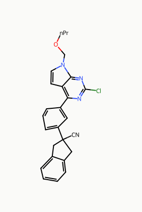 CCCOCn1ccc2c(-c3cccc(C4(C#N)Cc5ccccc5C4)c3)nc(Cl)nc21